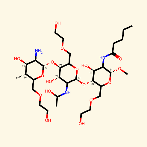 CCCCC(=O)NC1[C@H](OC)OC(COCCO)[C@H](O[C@@H]2OC(COCCO)[C@H](O[C@@H]3OC(COCCO)[C@H](C)[C@@H](O)C3N)[C@@H](O)C2NC(C)O)[C@H]1O